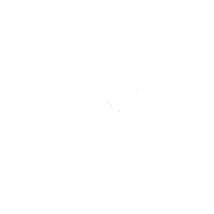 C(=C\c1cccs1)/N=C/c1cccs1